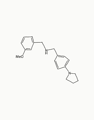 COc1cccc(CNCc2ccc(N3CCCC3)cc2)c1